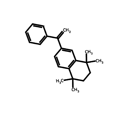 C=C(c1[c]cccc1)c1ccc2c(c1)C(C)(C)CCC2(C)C